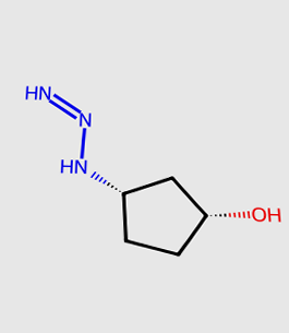 N=NN[C@H]1CC[C@@H](O)C1